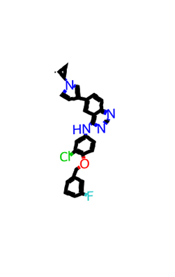 Fc1cccc(COc2ccc(Nc3ncnc4ccc(-c5ccn([C@H]6[CH]C6)c5)cc34)cc2Cl)c1